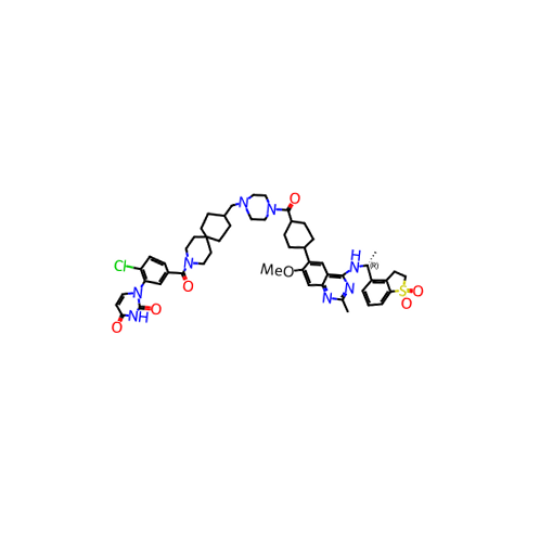 COc1cc2nc(C)nc(N[C@H](C)c3cccc4c3CCS4(=O)=O)c2cc1C1CCC(C(=O)N2CCN(CC3CCC4(CC3)CCN(C(=O)c3ccc(Cl)c(-n5ccc(=O)[nH]c5=O)c3)CC4)CC2)CC1